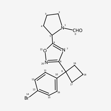 O=CN1CCCC1c1nc(C2(c3ccc(Br)cc3)CCC2)no1